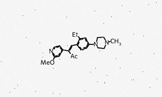 CCc1cc(N2CCN(C)CC2)ccc1/C=C(\C(C)=O)c1ccnc(OC)c1